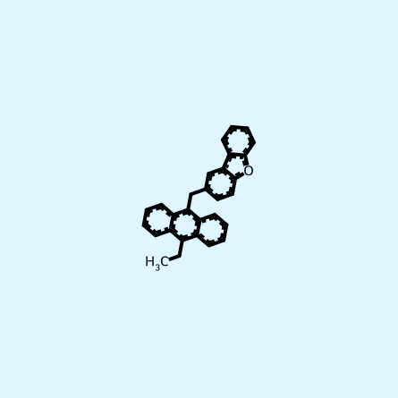 CCc1c2ccccc2c(Cc2ccc3oc4ccccc4c3c2)c2ccccc12